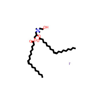 CCCCCCCC/C=C\CCCCCCCC(=O)OCC(C[N+](C)(C)CCO)OC(=O)CCCCCCC/C=C\CCCCCCCC.[I-]